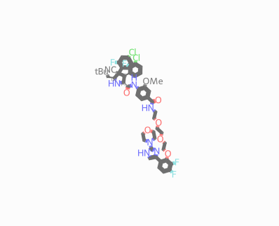 COc1cc(C(=O)NCCOCCOCCOc2c(-c3c[nH]c(N4CCOCC4)n3)ccc(F)c2F)ccc1NC(=O)[C@@H]1N[C@@H](CC(C)(C)C)[C@](C#N)(c2ccc(Cl)cc2F)[C@H]1c1cccc(Cl)c1F